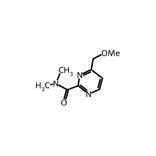 COCc1ccnc(C(=O)N(C)C)n1